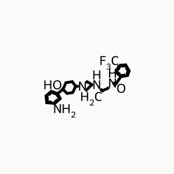 C=C(CNC(=O)c1cccc(C(F)(F)F)c1)NC1CN(C2CCC(O)(c3cccc(N)c3)CC2)C1